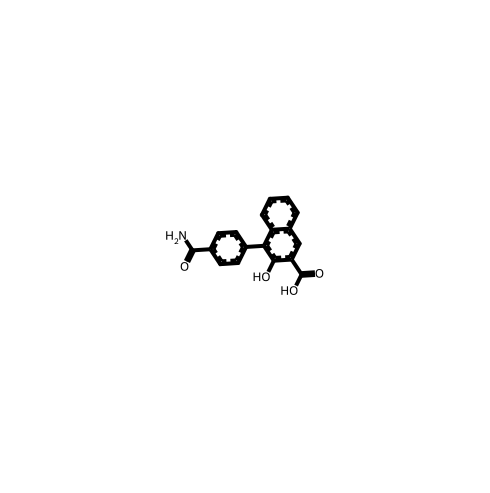 NC(=O)c1ccc(-c2c(O)c(C(=O)O)cc3ccccc23)cc1